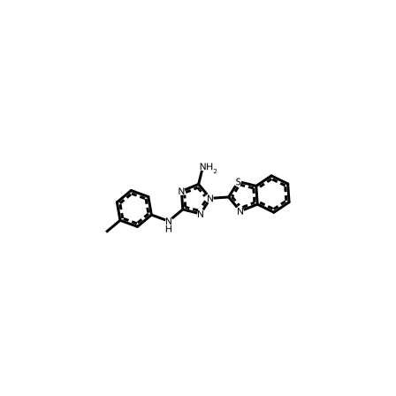 Cc1cccc(Nc2nc(N)n(-c3nc4ccccc4s3)n2)c1